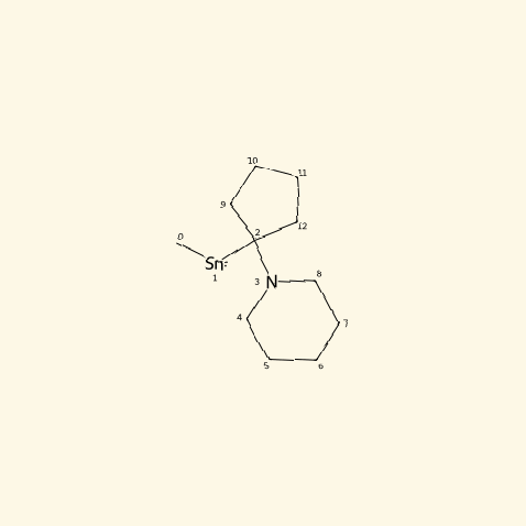 [CH3][Sn][C]1(N2CCCCC2)CCCC1